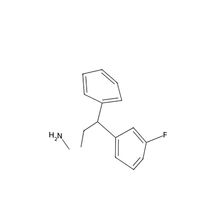 CCC(c1ccccc1)c1cccc(F)c1.CN